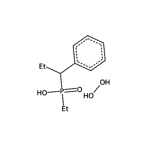 CCC(c1ccccc1)P(=O)(O)CC.OO